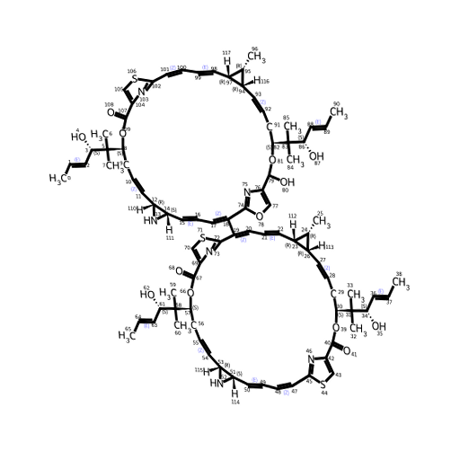 C/C=C/[C@H](O)C(C)(C)[C@@H]1C/C=C\[C@H]2N[C@H]2/C=C/C=C(/C2=C/C=C/[C@@H]3[C@H](C)[C@@H]3/C=C\C[C@@H](C(C)(C)[C@@H](O)/C=C/C)OC(=O)c3csc(n3)/C=C\C=C\[C@@H]3N[C@@H]3/C=C\C[C@@H](C(C)(C)[C@@H](O)/C=C/C)OC(=O)c3csc2n3)c2nc(co2)C(O)O[C@H](C(C)(C)[C@@H](O)/C=C/C)C/C=C\[C@H]2[C@@H](C)[C@H]2/C=C/C=C\c2nc(cs2)C(=O)O1